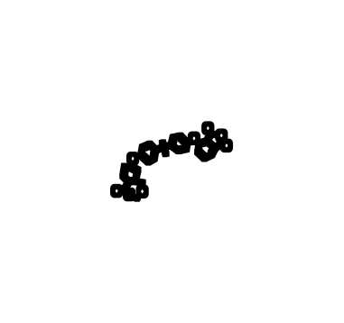 CC(C)(c1ccc(Oc2ccc3c(c2)COCOC3=O)cc1)c1ccc(Oc2cccc3c2C(=O)OC3=O)cc1